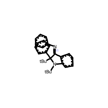 CC(C)(C)N1c2ccccc2/C(=N/c2ccccc2)C1(c1ccccc1)C(C)(C)C